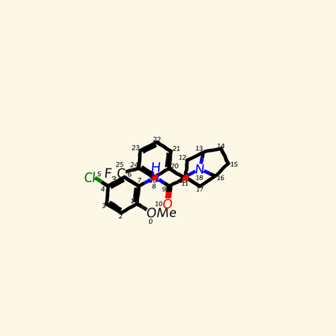 COc1ccc(Cl)cc1NC(=O)C1CC2CCC(C1)N2Cc1cccc(C(F)(F)F)c1